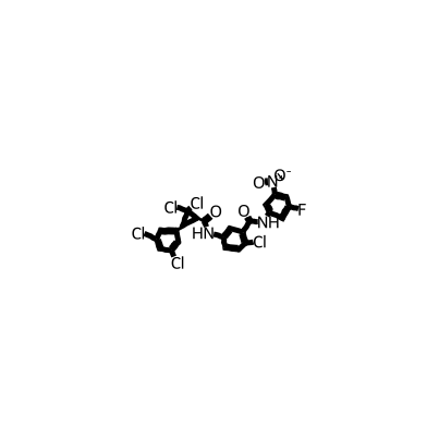 O=C(Nc1cc(F)cc([N+](=O)[O-])c1)c1cc(NC(=O)[C@H]2[C@H](c3cc(Cl)cc(Cl)c3)C2(Cl)Cl)ccc1Cl